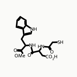 COC(=O)C(Cc1c[nH]c2ccccc12)NC(=O)C(CC(=O)O)NC(=O)CS